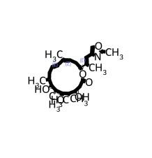 CC1=C/C[C@@H](/C(C)=C/c2coc(C)n2)OC(=O)C[C@H](O)C(C)(C)C(=O)[C@H](C)[C@@H](O)C(C)C\C=C\1